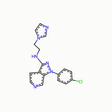 Clc1ccc(-n2nc(NCCn3ccnc3)c3ccncc32)cc1